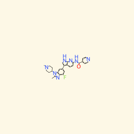 Cc1nc2c(F)cc(-c3c[nH]c4nc(NC(=O)c5ccncc5)ccc34)cc2n1C1CCN(C)CC1